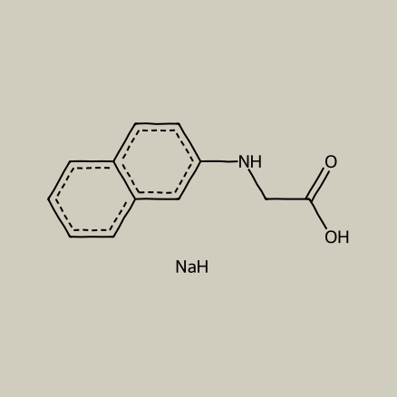 O=C(O)CNc1ccc2ccccc2c1.[NaH]